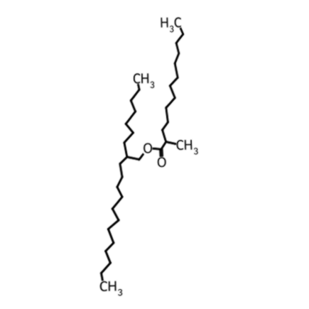 CCCCCCCCCCCCC(CCCCCCC)COC(=O)C(C)CCCCCCCCCCC